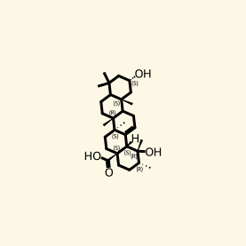 C[C@@H]1CC[C@]2(C(=O)O)CC[C@]3(C)C(=CCC4[C@@]5(C)C[C@@H](O)CC(C)(C)C5CC[C@]43C)[C@@H]2[C@]1(C)O